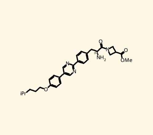 COC(=O)C1CN(C(=O)[C@@H](N)Cc2ccc(-c3ncc(-c4ccc(OCCCC(C)C)cc4)cn3)cc2)C1